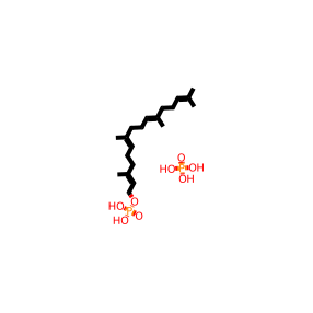 CC(C)=CCC/C(C)=C/CCC(C)=CCC/C(C)=C/COP(=O)(O)O.O=P(O)(O)O